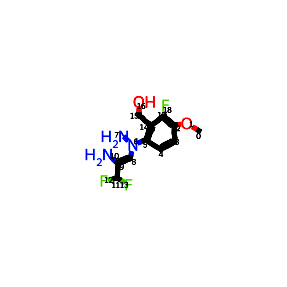 COc1ccc(N(N)/C=C(\N)C(F)F)c(CO)c1F